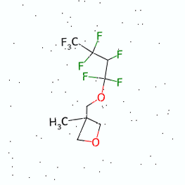 CC1(COC(F)(F)C(F)C(F)(F)C(F)(F)F)COC1